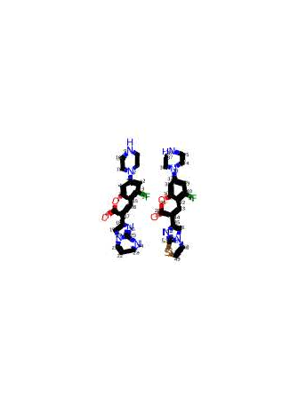 O=c1oc2cc(N3CCNCC3)cc(F)c2cc1-c1cn2cccnc2n1.O=c1oc2cc(N3CCNCC3)cc(F)c2cc1-c1cn2ccsc2n1